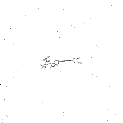 C[C@@](CCn1ncc2cc(C#CC#C[C@H]3C[C@@H](O)[C@@H](O)C3)ccc21)(C(=O)NO)S(C)(=O)=O